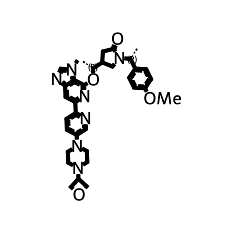 COc1ccc([C@@H](C)N2CC([C@@H](C)Oc3nc(-c4ccc(N5CCN(C6COC6)CC5)cn4)cc4ncn(C)c34)CC2=O)cc1